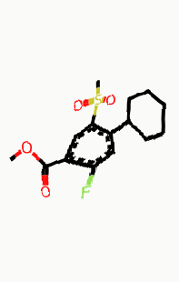 COC(=O)c1cc(S(C)(=O)=O)c(C2CCCCC2)cc1F